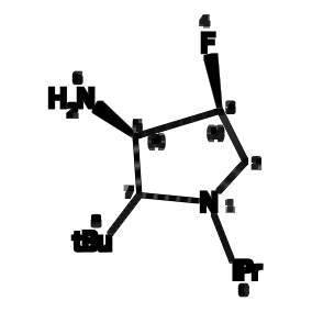 CC(C)N1C[C@H](F)[C@H](N)C1C(C)(C)C